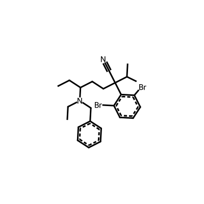 CCC(CCC(C#N)(c1c(Br)cccc1Br)C(C)C)N(CC)Cc1ccccc1